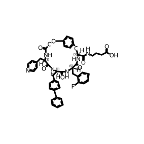 O=C(O)CCCNC(=O)[C@@H]1Cc2ccc(cc2)OCC(=O)N[C@@H](Cc2ccncc2)C(=O)N[C@H](Cc2ccc(-c3ccccc3)cc2)C(=O)N[C@@H](Cc2ccccc2F)C(=O)N1